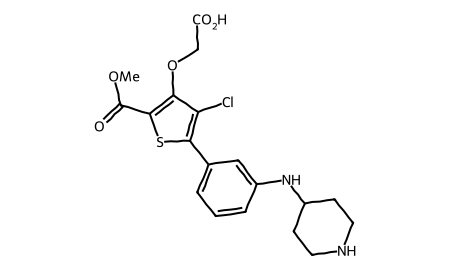 COC(=O)c1sc(-c2cccc(NC3CCNCC3)c2)c(Cl)c1OCC(=O)O